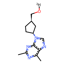 [2H]OC[C@@H]1CC[C@H](n2cnc3c(C)nc(C)nc32)C1